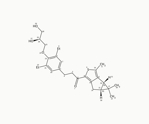 CCc1cc(CCC(=O)c2sc(C)c3c2C[C@@H]2[C@H]3C2(C)C)cc(CC)c1OC[C@@H](O)CO